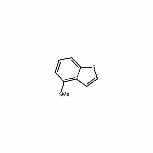 CSc1cccc2sccc12